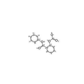 [O]C(=O)Oc1ccccc1C(=O)Oc1ccccc1